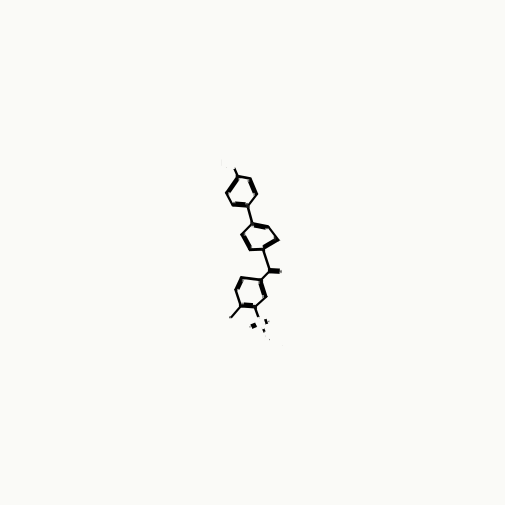 Cc1ccc(-c2ccc(C(=O)c3ccc(Cl)c(S(N)(=O)=O)c3)cc2)cc1